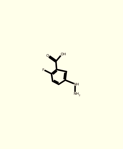 NNc1ccc(F)c(C(=O)O)c1